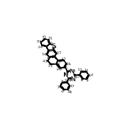 c1ccc(-c2nc(-c3ccccc3)nc(-c3ccc4c(c3)CCc3cc5c(cc3-4)sc3ccccc35)n2)cc1